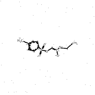 CCO/[P+]([O-])=C/OS(=O)(=O)c1ccc(C)cc1